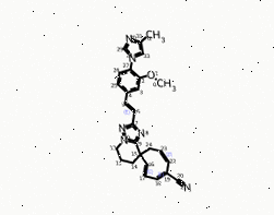 COc1cc(/C=C/c2nc3n(n2)CCCC32/C=C/C=C(C#N)\C=C/C2)ccc1-n1cnc(C)c1